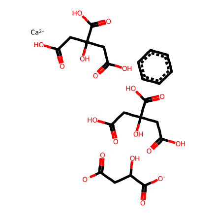 O=C(O)CC(O)(CC(=O)O)C(=O)O.O=C(O)CC(O)(CC(=O)O)C(=O)O.O=C([O-])CC(O)C(=O)[O-].[Ca+2].c1ccccc1